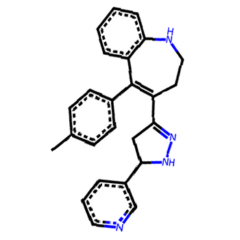 Cc1ccc(C2=C(C3=NNC(c4cccnc4)C3)CCNc3ccccc32)cc1